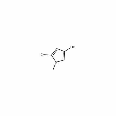 Cn1cc(O)cc1Cl